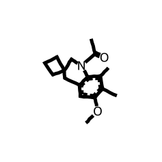 COc1cc2c(c(C)c1C)N(C(C)=O)CC1(CCC1)C2